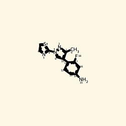 Cc1nn(-c2nccs2)cc1-c1ccc(N)cc1F